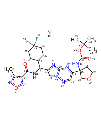 Cc1nonc1C(=O)N[C@H](c1cn2ncc(C3(NC(=O)OC(C)(C)C)CCOC3)nc2n1)C1CCC(F)(F)CC1.[N]